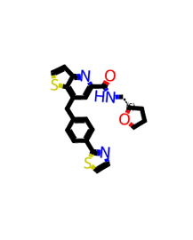 O=C(NC[C@@H]1CCCO1)c1cc(Cc2ccc(-c3nccs3)cc2)c2sccc2n1